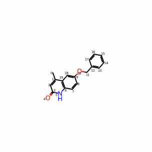 Cc1cc(=O)[nH]c2ccc(OCc3ccccc3)cc12